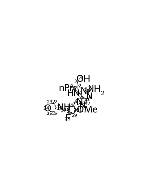 CCC[C@@H](CCO)Nc1nc(N)nc2cnn(Cc3cc(CNC4CCOCC4)c(F)cc3OC)c12